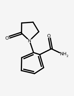 NC(=O)c1ccccc1N1CCCC1=O